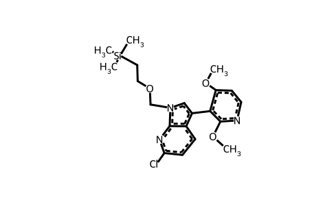 COc1ccnc(OC)c1-c1cn(COCC[Si](C)(C)C)c2nc(Cl)ccc12